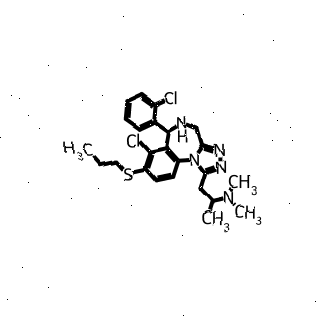 CCCSc1ccc2c(c1Cl)C(c1ccccc1Cl)NCc1nnc(CC(C)N(C)C)n1-2